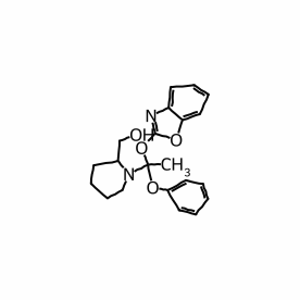 CC(Oc1ccccc1)(Oc1nc2ccccc2o1)N1CCCCC1CO